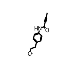 CC#CC(=O)Nc1ccc(CC[O])cc1